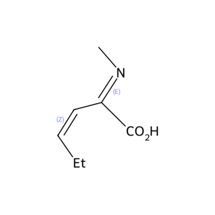 CC/C=C\C(=N/C)C(=O)O